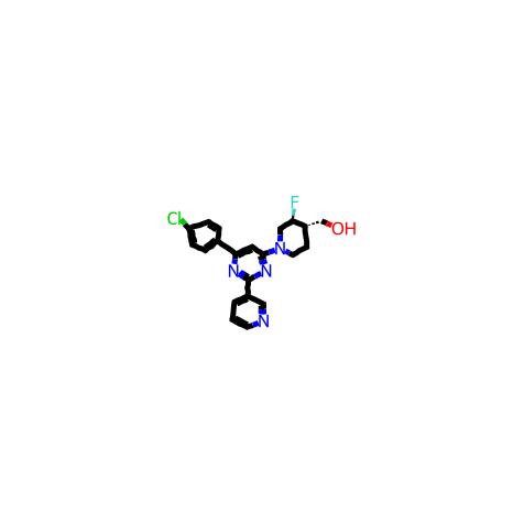 OC[C@@H]1CCN(c2cc(-c3ccc(Cl)cc3)nc(-c3cccnc3)n2)C[C@H]1F